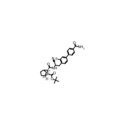 CC(C)(C)OC(=O)N1[C@@H]2CCC(C2)[C@H]1C(=O)NC(C#N)Cc1ccc(-c2ccc(C(N)=O)cc2)cc1F